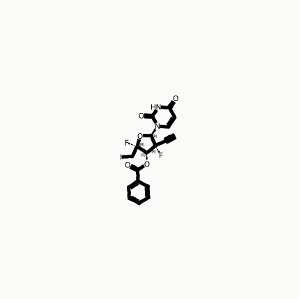 C#C[C@]1(F)[C@H](n2ccc(=O)[nH]c2=O)O[C@](F)(CI)[C@H]1OC(=O)c1ccccc1